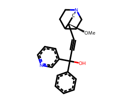 CO[C@]1(C#CC(O)(c2ccccc2)c2cccnc2)CN2CCC1CC2